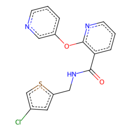 O=C(NCc1cc(Cl)cs1)c1cccnc1Oc1cccnc1